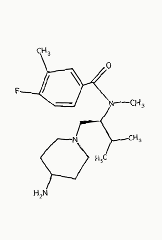 Cc1cc(C(=O)N(C)[C@H](CN2CCC(N)CC2)C(C)C)ccc1F